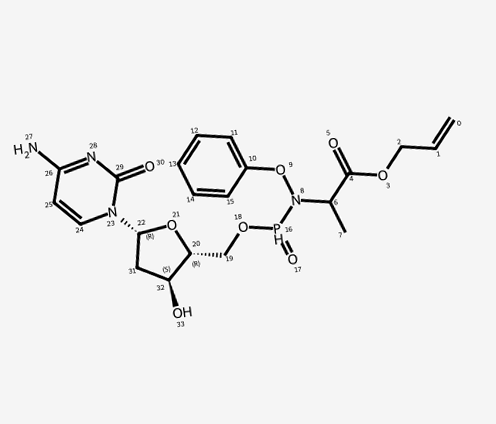 C=CCOC(=O)C(C)N(Oc1ccccc1)[PH](=O)OC[C@H]1O[C@@H](n2ccc(N)nc2=O)C[C@@H]1O